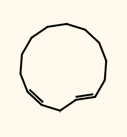 [CH]1/C=C\CCCCCCCCC/C=C/1